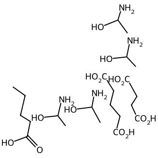 CC(N)O.CC(N)O.CC(N)O.CC(N)O.CCCCC(=O)O.O=C(O)CCC(=O)O.O=C(O)CCCC(=O)O